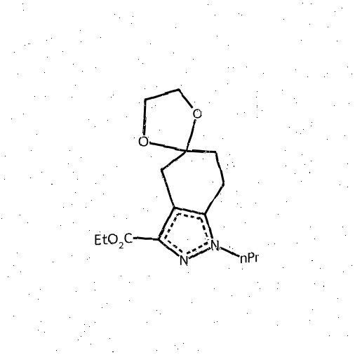 CCCn1nc(C(=O)OCC)c2c1CCC1(C2)OCCO1